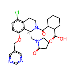 O=C(O)C1CCCCC1C(=O)N1CCc2c(Cl)ccc(OCc3cncnc3)c2[C@H]1CN1CCCC1=O